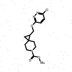 CC(C)(C)OC(=O)N1CCC2(CC1)CC2COc1ccc(Cl)nn1